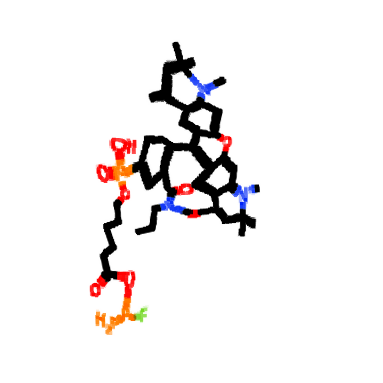 CCCN(C)C(=O)c1cc(P(=O)(O)OCCCCCC(=O)OP(F)P)ccc1C1=c2cc3c(cc2Oc2cc4c(cc21)C(C)=CC(C)(C)N4C)=[N+](C)C(C)(C)C=C3C